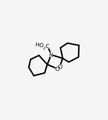 O=C(O)N(C1(Cl)CCCCC1)C1(Cl)CCCCC1